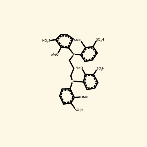 COc1c(P(CCCP(c2cccc(S(=O)(=O)O)c2OC)c2cccc(S(=O)(=O)O)c2OC)c2cccc(S(=O)(=O)O)c2OC)cccc1S(=O)(=O)O